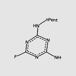 CCCCCNc1nc([NH])nc(F)n1